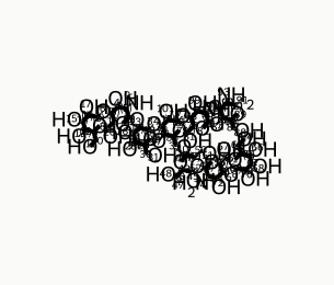 CN[C@H]1C(O)[C@H](O[C@@H]2OC(CO)[C@H](O)C(O)[C@@H]2O)C(CO)O[C@H]1O[C@H]1C(O)[C@@H](O)C(CO)O[C@H]1OC1[C@H](O)C(CO[C@@H](OC(CO)[C@H](C)O)[C@@H](CO)O[C@@H]2O[C@@H](CO)[C@@H](O[C@@H]3OC(CO)[C@H](O)C(O)[C@@H]3O)C(O)C2N)O[C@@H](O[C@@H]2C(CO)O[C@@H](O[C@@H]3C(CO)O[C@@H](C)[C@@H](N)C3O)[C@@H](N)C2O)[C@@H]1O